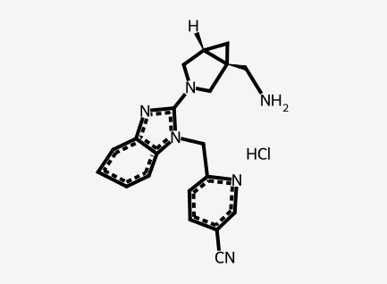 Cl.N#Cc1ccc(Cn2c(N3C[C@@H]4C[C@]4(CN)C3)nc3ccccc32)nc1